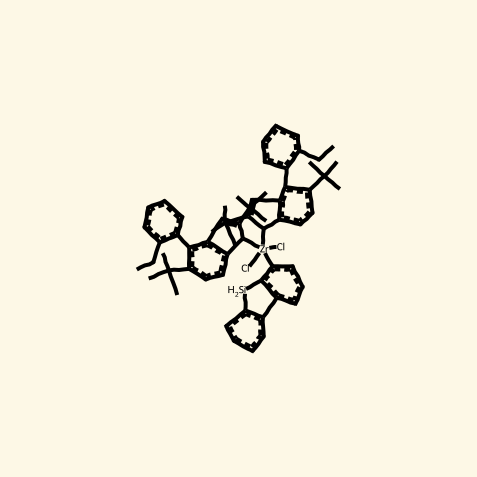 CCc1ccccc1-c1c(C(C)(C)C)ccc2c1C=C(C(C)(C)C)[CH]2[Zr]([Cl])([Cl])([c]1cccc2c1[SiH2]c1ccccc1-2)[CH]1C(C(C)(C)C)=Cc2c1ccc(C(C)(C)C)c2-c1ccccc1CC